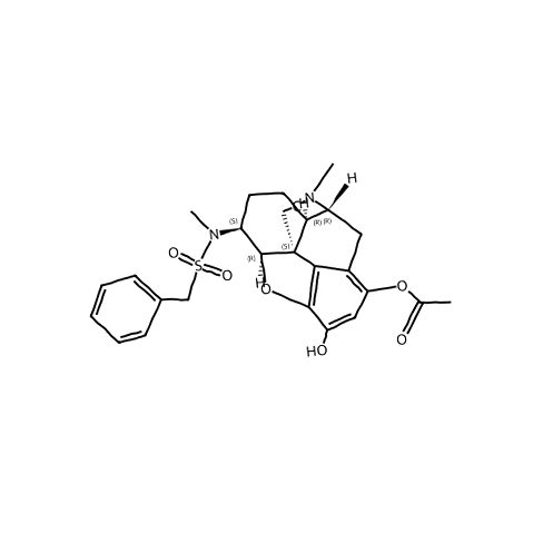 CC(=O)Oc1cc(O)c2c3c1C[C@@H]1[C@@H]4CC[C@H](N(C)S(=O)(=O)Cc5ccccc5)[C@H](O2)[C@]34CCN1C